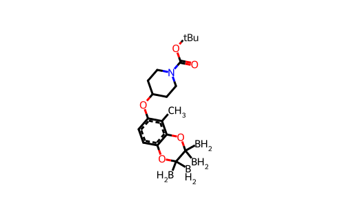 BC1(B)Oc2ccc(OC3CCN(C(=O)OC(C)(C)C)CC3)c(C)c2OC1(B)B